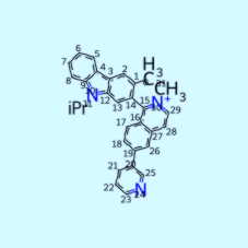 Cc1cc2c3ccccc3n(C(C)C)c2cc1-c1c2ccc(-c3cccnc3)cc2cc[n+]1C